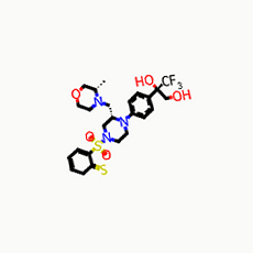 C[C@H]1COCCN1C[C@H]1CN(S(=O)(=O)C2=CC=CCC2=S)CCN1c1ccc([C@](O)(CO)C(F)(F)F)cc1